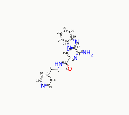 Nc1nc(C(=O)NCCc2ccncc2)cn2c1nc1ccccc12